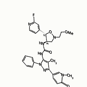 COCCN1C[C@@H](NC(=O)Nc2c(C)c(-c3ccc(=O)n(C)c3)nn2-c2ccccc2)[C@H](c2ccnc(F)c2)O1